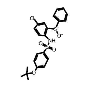 CC(C)(C)Oc1ccc(S(=O)(=O)Nc2ccc(Cl)cc2[S+]([O-])c2ccccc2)cc1